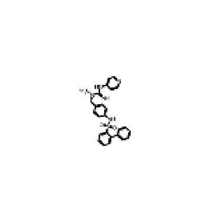 CN(Cc1ccc(NS(=O)(=O)c2ccccc2-c2ccccc2)cc1)C(=N)Nc1ccncc1